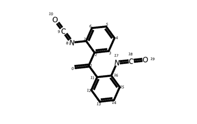 C=C(c1ccccc1N=C=O)c1ccccc1N=C=O